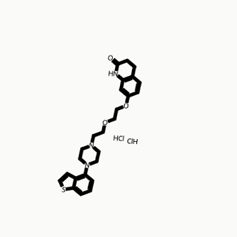 Cl.Cl.O=C1CCc2ccc(OCCOCCN3CCN(c4cccc5sccc45)CC3)cc2N1